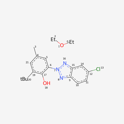 CCOCC.Cc1cc(-n2nc3ccc(Cl)cc3n2)c(O)c(C(C)(C)C)c1